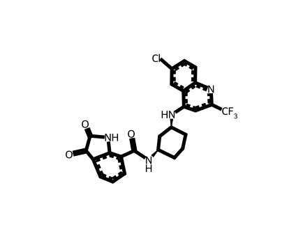 O=C1Nc2c(C(=O)N[C@@H]3CCC[C@H](Nc4cc(C(F)(F)F)nc5ccc(Cl)cc45)C3)cccc2C1=O